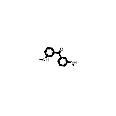 CNc1cccc(C(=O)c2cccc(NI)c2)c1